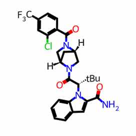 CC(C)(C)[C@@H](C(=O)N1C[C@@H]2C[C@H]1CN2C(=O)c1ccc(C(F)(F)F)cc1Cl)n1c(C(N)=O)cc2ccccc21